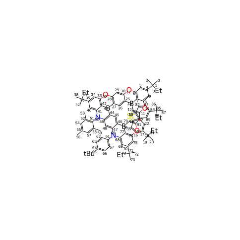 CCC(C)(C)c1cc2c3c(c1)Oc1c(sc4ccc(C(C)(C)CC)cc14)B3c1cc3c(cc1O2)Oc1cc(C(C)(C)CC)cc2c1B3c1cc3c(cc1N2c1c(C)cc(C)cc1C)N(c1ccc(C(C)(C)C)cc1)c1cc(C(C)(C)CC)cc2c1B3c1sc3ccc(C(C)(C)CC)cc3c1O2